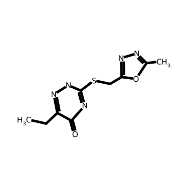 CCC1=N[N]C(SCc2nnc(C)o2)=NC1=O